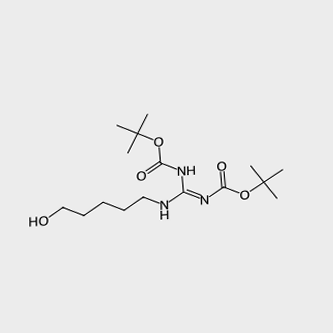 CC(C)(C)OC(=O)/N=C(/NCCCCCO)NC(=O)OC(C)(C)C